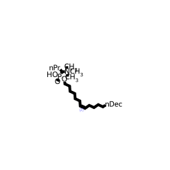 CCCCCCCCCCCCCC/C=C\CCCCCCOP(=O)(O)C(CCC)[N+](C)(C)C